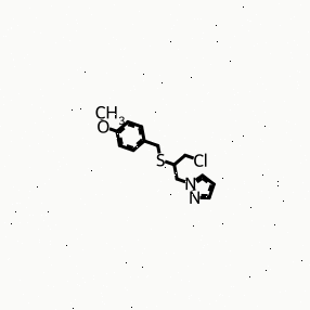 COc1ccc(CSC(CCl)Cn2cccn2)cc1